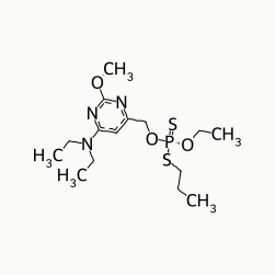 CCCS[P@@](=S)(OCC)OCc1cc(N(CC)CC)nc(OC)n1